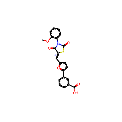 COc1ccccc1N1C(=O)S/C(=C\c2ccc(-c3cccc(C(=O)O)c3)o2)C1=O